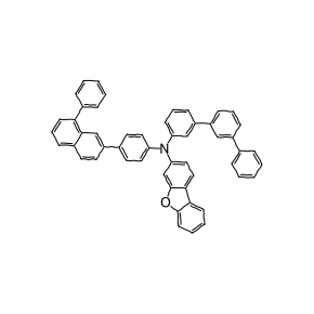 c1ccc(-c2cccc(-c3cccc(N(c4ccc(-c5ccc6cccc(-c7ccccc7)c6c5)cc4)c4ccc5c(c4)oc4ccccc45)c3)c2)cc1